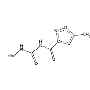 CCCCNC(=O)NC(=O)c1cc(C)on1